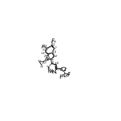 Fc1cc2cc(-c3cnnc(OC(F)F)c3)n(C3CC3)c2cc1F